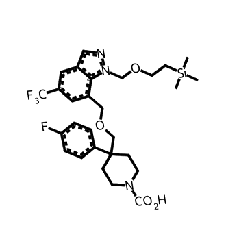 C[Si](C)(C)CCOCn1ncc2cc(C(F)(F)F)cc(COCC3(c4ccc(F)cc4)CCN(C(=O)O)CC3)c21